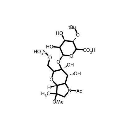 COC1(C)CN(C(C)=O)C2[C@H]1OC(COS(=O)(=O)O)[C@@](O)(O[C@@H]1OC(C(=O)O)[C@@H](OC(C)(C)C)[C@H](O)C1O)[C@@H]2O